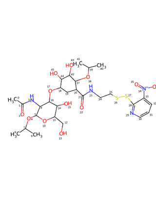 CC(=O)NC1C(OC(C)C)OC(CO)C(O)C1OC1CC(C(=O)NCCSSc2ncccc2[N+](=O)[O-])C(OC(C)C)C(O)C1O